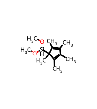 CO[SiH](OC)C1(C)C(C)=C(C)C(C)=C1C